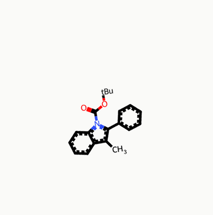 Cc1c(-c2ccccc2)n(C(=O)OC(C)(C)C)c2ccccc12